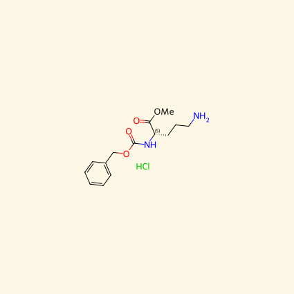 COC(=O)[C@H](CCCN)NC(=O)OCc1ccccc1.Cl